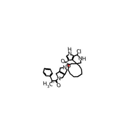 C[C@@H](C(=O)N1CC2=C(C1)CN(S(=O)(=O)c1c[nH]c3c1C1(CCCCCCCCC1)CNC3Cl)C2)c1ccccc1